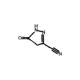 N#CC1=NNC(=O)C1